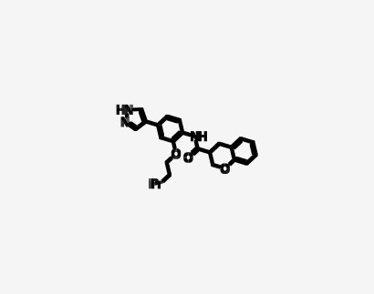 CC(C)CCOc1cc(-c2cn[nH]c2)ccc1NC(=O)C1COc2ccccc2C1